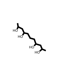 CC(O)CC(O)CCCC(O)CC(C)O